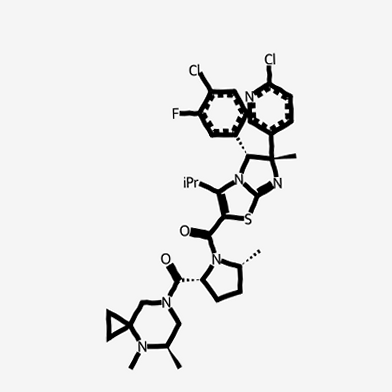 CC(C)C1=C(C(=O)N2[C@H](C)CC[C@@H]2C(=O)N2C[C@@H](C)N(C)C3(CC3)C2)SC2=N[C@@](C)(c3ccc(Cl)nc3)[C@@H](c3ccc(Cl)c(F)c3)N21